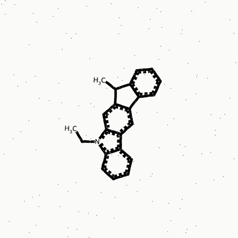 CCn1c2ccccc2c2cc3c(cc21)C(C)c1ccccc1-3